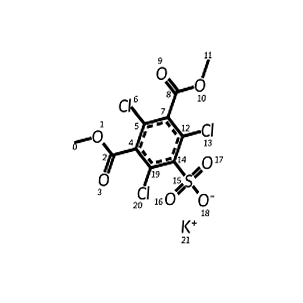 COC(=O)c1c(Cl)c(C(=O)OC)c(Cl)c(S(=O)(=O)[O-])c1Cl.[K+]